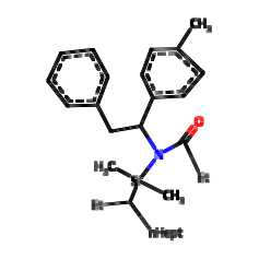 CCCCCCCC(CC)[Si](C)(C)N(C(=O)CC)C(Cc1ccccc1)c1ccc(C)cc1